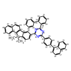 C[Si]1(C)c2ccc(-c3nc(-c4ccc(-c5cccc6ccccc56)cc4)nc(-c4ccccc4-c4ccccc4)n3)cc2-c2ccc3ccccc3c21